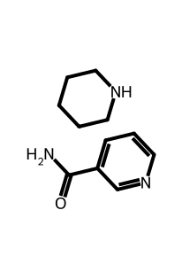 C1CCNCC1.NC(=O)c1cccnc1